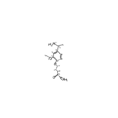 COc1cc(C(C)N)ccc1OCCCC(=O)O